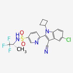 C[C@@H](NS(=O)(=O)c1ccc(-c2c(C#N)c3cc(Cl)ccc3n2C2CCC2)nc1)C(F)(F)F